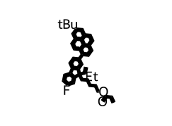 C=CC(=O)OCCCCCC1(C(=C)CC)c2cc(F)ccc2-c2ccc(-c3ccc4ccc5cc(C(C)(C)C)cc6ccc3c4c56)cc21